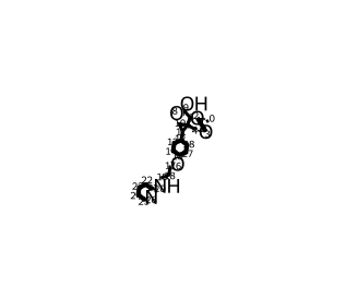 CS(=O)(=O)CC1(CC(=O)O)CC1c1ccc(OCCCNc2ccccn2)cc1